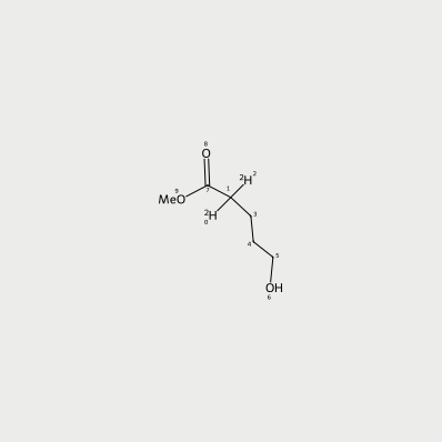 [2H]C([2H])(CCCO)C(=O)OC